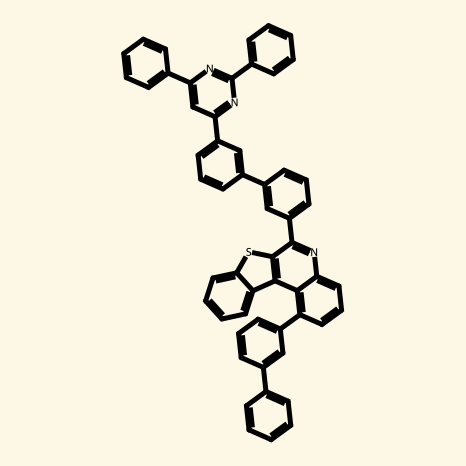 c1ccc(-c2cccc(-c3cccc4nc(-c5cccc(-c6cccc(-c7cc(-c8ccccc8)nc(-c8ccccc8)n7)c6)c5)c5sc6ccccc6c5c34)c2)cc1